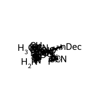 CCCCCCCCCCCCCCCOC[C@H](COP(=O)(O)OC[C@@]1(C#N)O[C@@H](c2ccc3c(N)ncnn23)[C@@H]2OC(C)(C)O[C@@H]21)OCc1cc(F)cc(C#N)c1